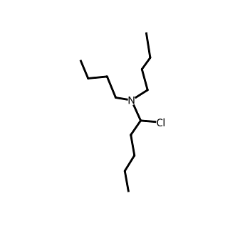 CCCCC(Cl)N(CCCC)CCCC